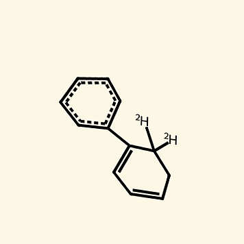 [2H]C1([2H])CC=CC=C1c1ccccc1